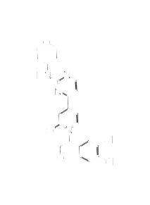 O=c1cc(-c2ccnc(NC3CCOCC3)n2)ccn1[C@H](CO)c1ccc(Cl)c(Cl)c1